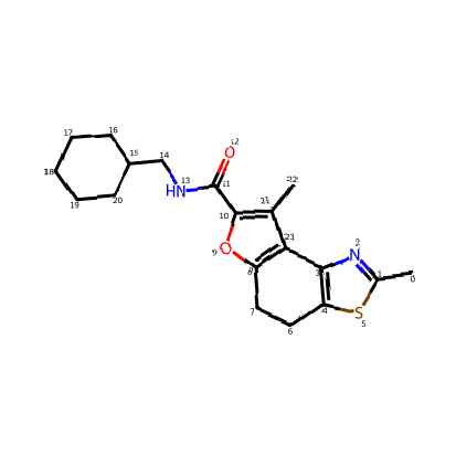 Cc1nc2c(s1)CCc1oc(C(=O)NCC3CCCCC3)c(C)c1-2